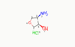 Cl.N[C@@H]1COC[C@@H]1O